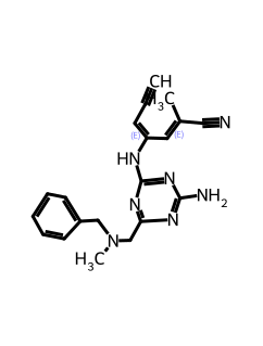 C#C/C=C(\C=C(/C)C#N)Nc1nc(N)nc(CN(C)Cc2ccccc2)n1